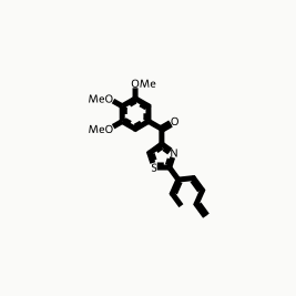 C=C/C=C\C(=C/C)c1nc(C(=O)c2cc(OC)c(OC)c(OC)c2)cs1